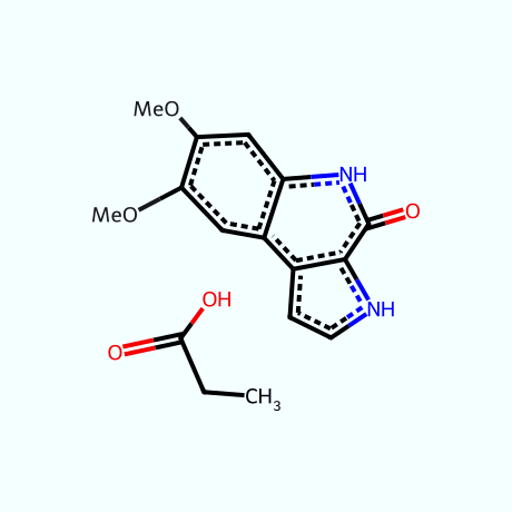 CCC(=O)O.COc1cc2[nH]c(=O)c3[nH]ccc3c2cc1OC